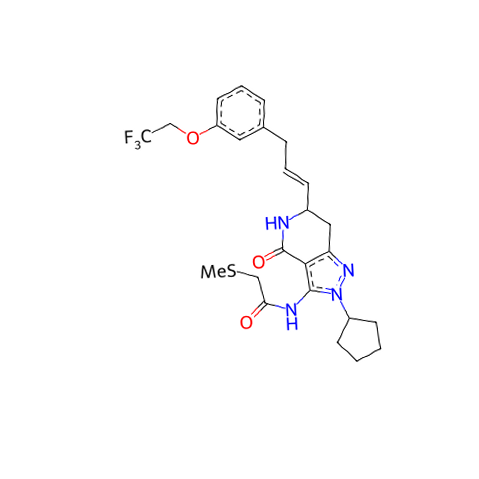 CSCC(=O)Nc1c2c(nn1C1CCCC1)CC(/C=C/Cc1cccc(OCC(F)(F)F)c1)NC2=O